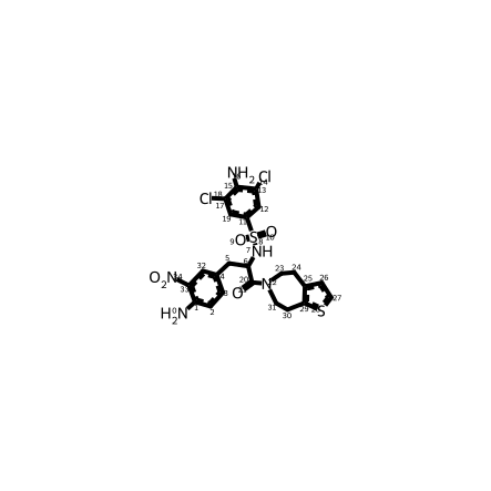 Nc1ccc(CC(NS(=O)(=O)c2cc(Cl)c(N)c(Cl)c2)C(=O)N2CCc3ccsc3CC2)cc1[N+](=O)[O-]